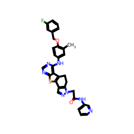 Cc1cc(Nc2ncnc3sc4c(c23)CCc2c-4cnn2CC(=O)Nc2cccnc2)ccc1OCc1cccc(F)c1